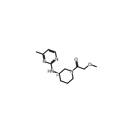 COCC(=O)N1CCC[C@@H](Nc2nccc(C)n2)C1